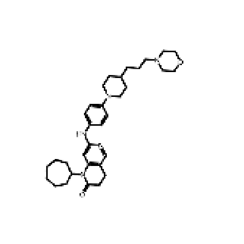 O=C1CCc2cnc(Nc3ccc(N4CCC(CCCN5CCOCC5)CC4)cc3)cc2N1C1CCCCCC1